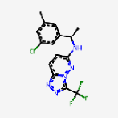 Cc1cc(Cl)cc([C@@H](C)Nc2ccc3nnc(C(F)(F)F)n3n2)c1